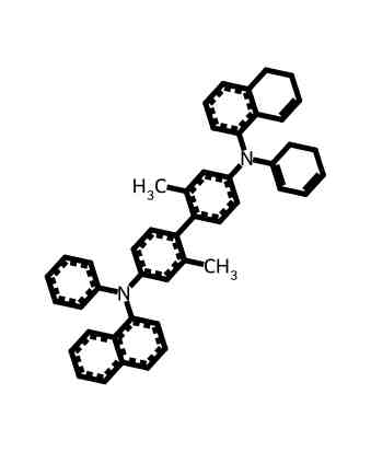 Cc1cc(N(C2=CC=CCC2)c2cccc3c2C=CCC3)ccc1-c1ccc(N(c2ccccc2)c2cccc3ccccc23)cc1C